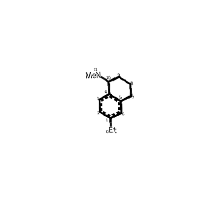 CCc1ccc2c(c1)CCCC2NC